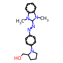 CN1c2ccccc2N(C)C1N=Nc1ccc(N2CCCC2CO)cc1